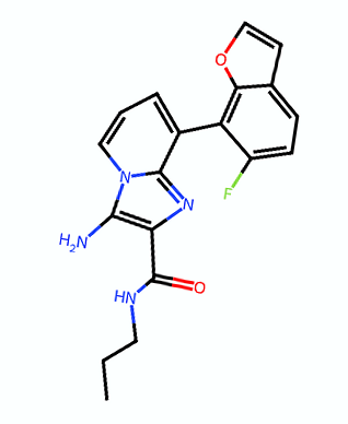 CCCNC(=O)c1nc2c(-c3c(F)ccc4ccoc34)cccn2c1N